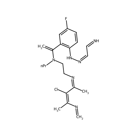 C=N/C(C)=C(Cl)\C(C)=N/CCN(CCC)C(=C)c1cc(F)ccc1N/N=C\C=N